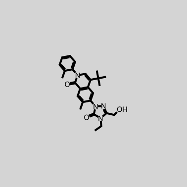 CCn1c(CO)nn(-c2cc3c(C(C)(C)C)cn(-c4ccccc4C)c(=O)c3cc2C)c1=O